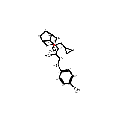 CN(CC1CC1)C1C2CCC1CN(CC(O)COc1ccc(C#N)cc1)C2